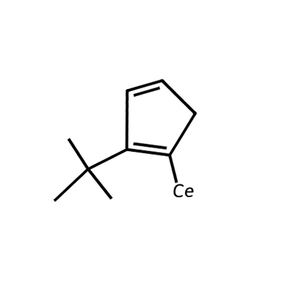 CC(C)(C)C1=[C]([Ce])CC=C1